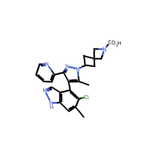 Cc1cc2[nH]ncc2c(-c2c(-c3ccccn3)nn(C3CC4(C3)CN(C(=O)O)C4)c2C)c1Cl